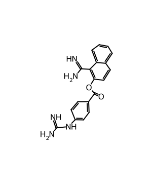 N=C(N)Nc1ccc(C(=O)Oc2ccc3ccccc3c2C(=N)N)cc1